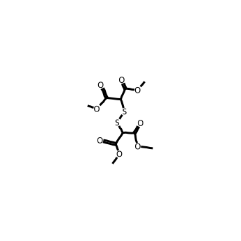 COC(=O)C(SSC(C(=O)OC)C(=O)OC)C(=O)OC